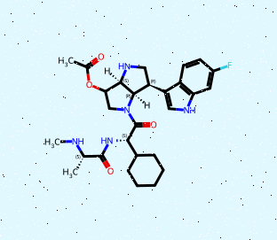 CN[C@@H](C)C(=O)N[C@H](C(=O)N1CC(OC(C)=O)[C@H]2NC[C@@H](c3c[nH]c4cc(F)ccc34)[C@H]21)C1CCCCC1